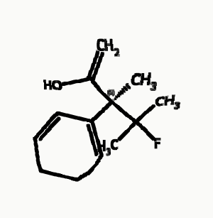 C=C(O)[C@](C)(C1=CCCC=C1)C(C)(C)F